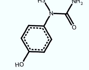 NC(=O)N(S)c1ccc(O)cc1